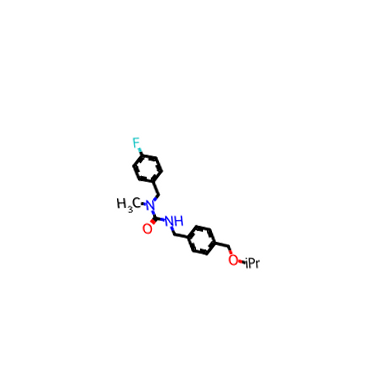 CC(C)OCc1ccc(CNC(=O)N(C)Cc2ccc(F)cc2)cc1